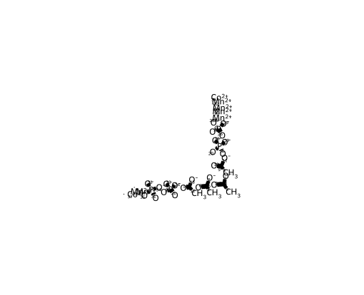 CC(=O)[O-].CC(=O)[O-].CC(=O)[O-].CC(=O)[O-].O=P([O-])([O-])[O-].O=P([O-])([O-])[O-].O=P([O-])([O-])[O-].O=P([O-])([O-])[O-].[Co+2].[Co+2].[Mn+2].[Mn+2].[Mn+2].[Mn+2].[Mn+2].[Mn+2]